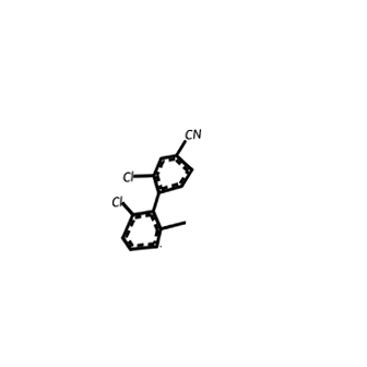 Cc1[c]ccc(Cl)c1-c1ccc(C#N)cc1Cl